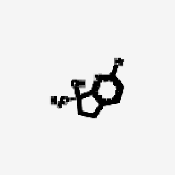 C[C@@]1(O)CCc2ccc(Br)nc21